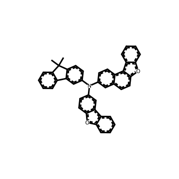 CC1(C)c2ccccc2-c2cc(N(c3ccc4c(ccc5oc6ccccc6c54)c3)c3ccc4oc5ccccc5c4c3)ccc21